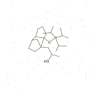 CC(O)CC12CCC(C1)C1CCCC12O[Si](C(C)C)(C(C)C)C(C)C